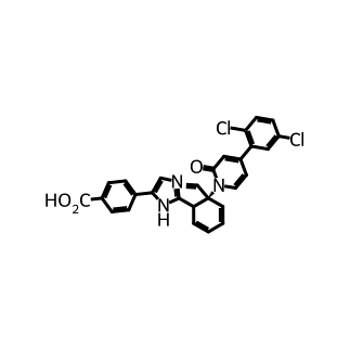 C=C[C@]1(n2ccc(-c3cc(Cl)ccc3Cl)cc2=O)C=CC=CC1c1ncc(-c2ccc(C(=O)O)cc2)[nH]1